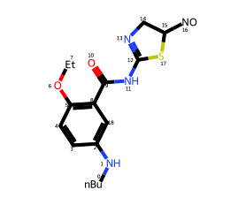 CCCCNc1ccc(OCC)c(C(=O)NC2=NCC(N=O)S2)c1